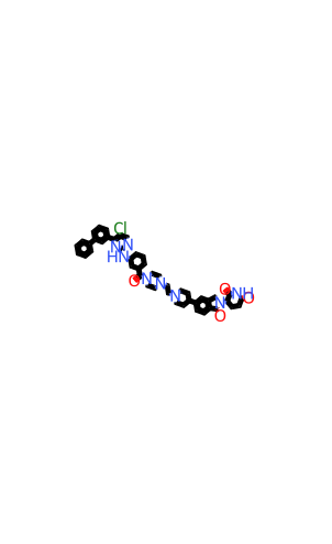 O=C1CCC(N2Cc3cc(C4CCN(CCN5CCN(C(=O)C6CCCC(Nc7ncc(Cl)c(-c8cccc(-c9ccccc9)c8)n7)C6)CC5)CC4)ccc3C2=O)C(=O)N1